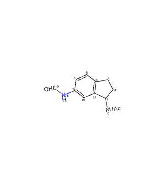 CC(=O)NC1CCc2ccc(NC=O)cc21